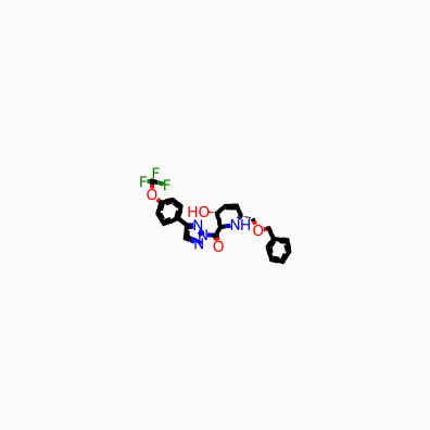 O=C(C1N[C@@H](COCc2ccccc2)C=C[C@H]1O)n1ncc(-c2ccc(OC(F)(F)F)cc2)n1